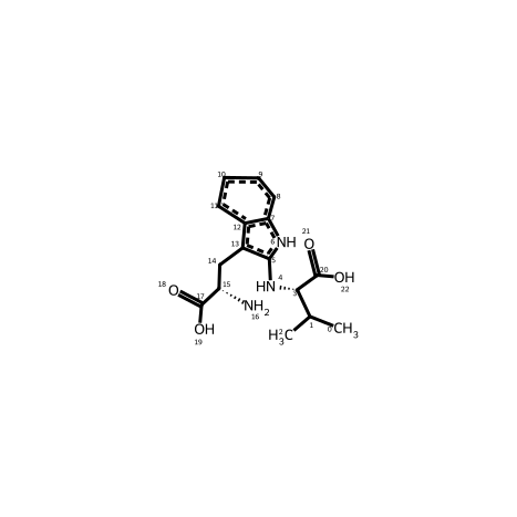 CC(C)[C@H](Nc1[nH]c2ccccc2c1C[C@H](N)C(=O)O)C(=O)O